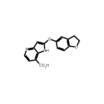 O=C(O)c1ccnc2cc(Oc3ccc4c(c3)CCO4)[nH]c12